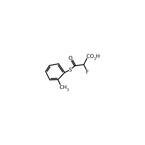 Cc1ccccc1SC(=O)C(F)C(=O)O